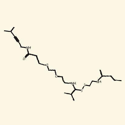 CCCC(C)NCCSSC(NCCOCCOCCC(=O)NCC#CC(C)C)C(C)C